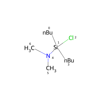 CCCC[Si](Cl)(CCCC)N(C)C